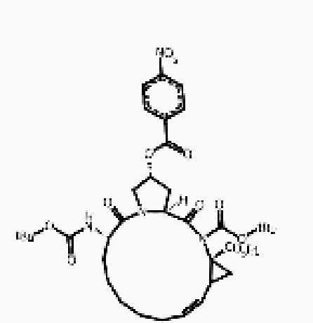 CCOC(=O)[C@@]12CC1/C=C\CCCCC[C@H](NC(=O)OC(C)(C)C)C(=O)N1C[C@H](OC(=O)c3ccc([N+](=O)[O-])cc3)C[C@H]1C(=O)N2C(=O)OC(C)(C)C